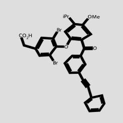 COc1cc(C(=O)c2cccc(C#Cc3ccccc3)c2)c(Oc2c(Br)cc(CC(=O)O)cc2Br)cc1C(C)C